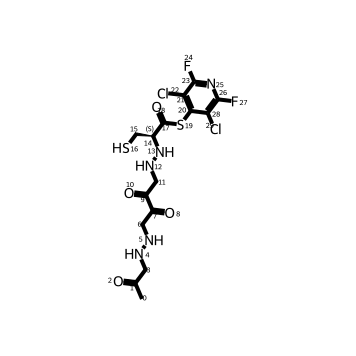 CC(=O)CNNCC(=O)C(=O)CNN[C@@H](CS)C(=O)Sc1c(Cl)c(F)nc(F)c1Cl